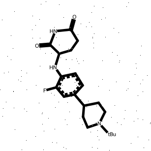 CC(C)(C)N1CCC(c2ccc(NC3CCC(=O)NC3=O)c(F)c2)CC1